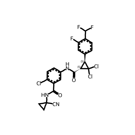 N#CC1(NC(=O)c2cc(NC(=O)[C@@H]3[C@@H](c4ccc(C(F)F)c(F)c4)C3(Cl)Cl)ccc2Cl)CC1